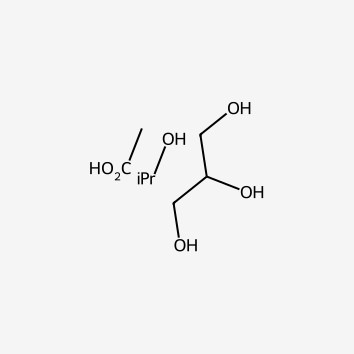 CC(=O)O.CC(C)O.OCC(O)CO